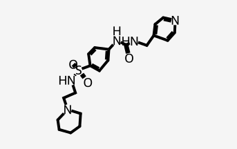 O=C(NCc1ccncc1)Nc1ccc(S(=O)(=O)NCCN2CCCCC2)cc1